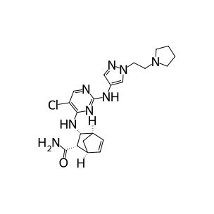 NC(=O)[C@@H]1[C@H](Nc2nc(Nc3cnn(CCN4CCCC4)c3)ncc2Cl)[C@H]2C=C[C@@H]1C2